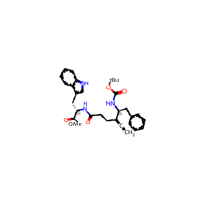 C=C=C(CCC(=O)N[C@@H](Cc1c[nH]c2ccccc12)C(=O)OC)[C@H](Cc1ccccc1)NC(=O)OC(C)(C)C